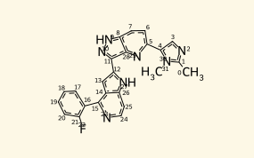 Cc1ncc(-c2ccc3[nH]nc(-c4cc5c(-c6ccccc6F)nccc5[nH]4)c3n2)n1C